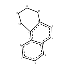 c1ccc2c3c(ccc2c1)CCCC3